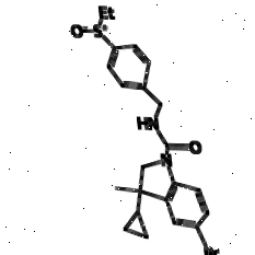 CC[S+]([O-])c1ccc(CNC(=O)N2CC(C)(C3CC3)c3cc(Br)ccc32)cc1